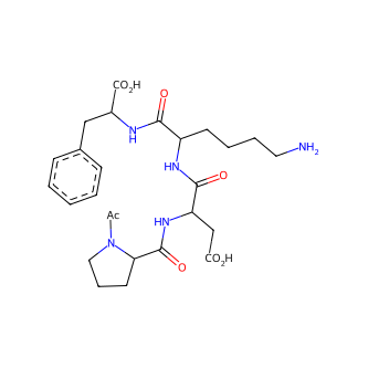 CC(=O)N1CCCC1C(=O)NC(CC(=O)O)C(=O)NC(CCCCN)C(=O)NC(Cc1ccccc1)C(=O)O